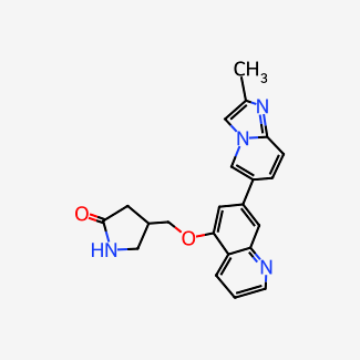 Cc1cn2cc(-c3cc(OCC4CNC(=O)C4)c4cccnc4c3)ccc2n1